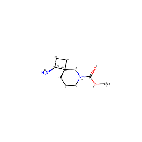 CC(C)(C)OC(=O)N1CCC[C@@]2(CC[C@@H]2N)C1